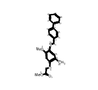 COC(=O)COc1cc(OC)c(SCc2ccc(-c3ccccc3)cc2)cc1C